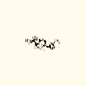 C=C(/N=C\N(C)Cc1nnn(C)n1)SC(=C)C(N)=O